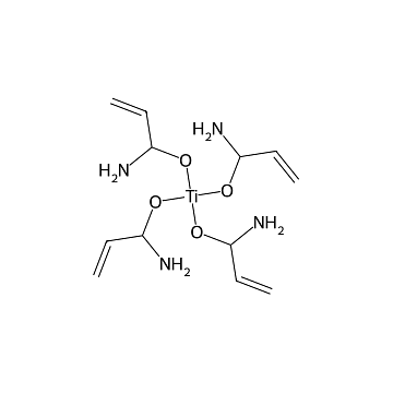 C=CC(N)[O][Ti]([O]C(N)C=C)([O]C(N)C=C)[O]C(N)C=C